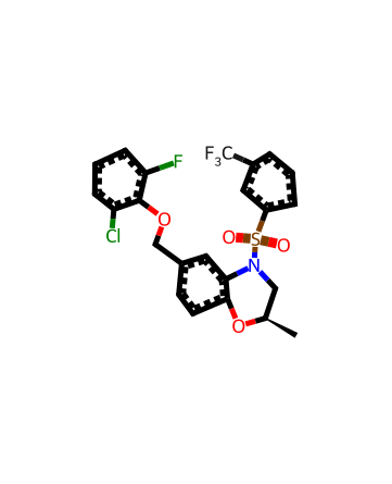 C[C@@H]1CN(S(=O)(=O)c2cccc(C(F)(F)F)c2)c2cc(COc3c(F)cccc3Cl)ccc2O1